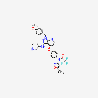 COc1ccc(Cn2nc(N[C@@H]3CCCNC3)c3c(Oc4ccc(N(C(=O)C(F)(F)F)c5cc(C)on5)cc4)ccnc32)cc1